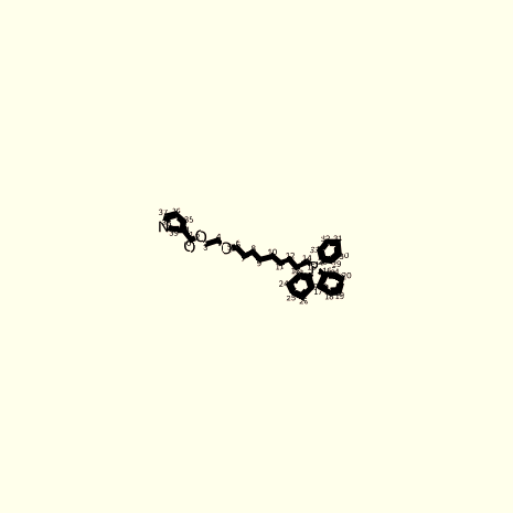 O=C(OCCOCCCCCCCCC[P+](c1ccccc1)(c1ccccc1)c1ccccc1)c1cccnc1